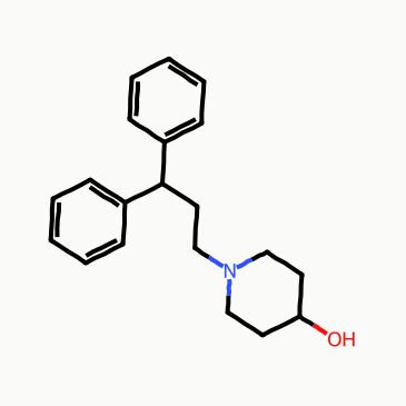 OC1CCN(CCC(c2ccccc2)c2ccccc2)CC1